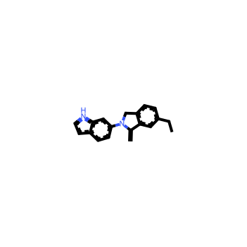 C=C1c2cc(CC)ccc2CN1c1ccc2cc[nH]c2c1